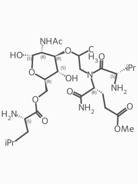 COC(=O)CC[C@H](C(N)=O)N(CC(C)O[C@H]1[C@H](O)[C@@H](COC(=O)[C@@H](N)CC(C)C)O[C@H](O)[C@@H]1NC(C)=O)C(=O)[C@@H](N)C(C)C